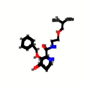 COC(COCCNC(=O)c1[nH]ccc(=O)c1OCc1ccccc1)OC